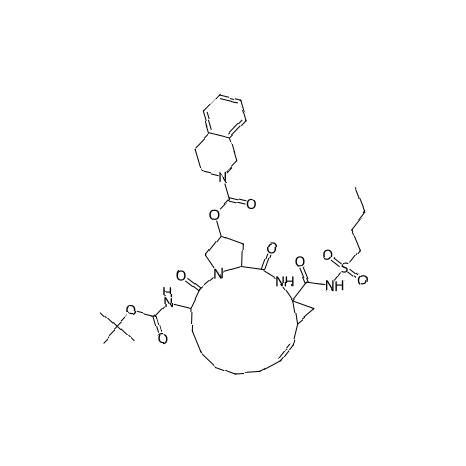 CCCCS(=O)(=O)NC(=O)C12CC1C=CCCCCCC(NC(=O)OC(C)(C)C)C(=O)N1CC(OC(=O)N3CCc4ccccc4C3)CC1C(=O)N2